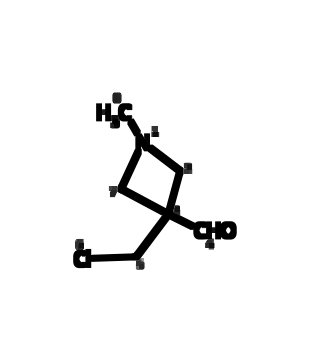 CN1CC(C=O)(CCl)C1